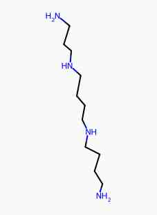 NCCCCNCCCCNCCCN